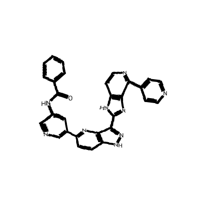 O=C(Nc1cncc(-c2ccc3[nH]nc(-c4nc5c(-c6ccncc6)nccc5[nH]4)c3n2)c1)c1ccccc1